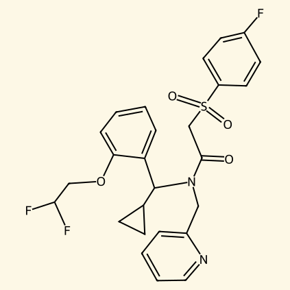 O=C(CS(=O)(=O)c1ccc(F)cc1)N(Cc1ccccn1)C(c1ccccc1OCC(F)F)C1CC1